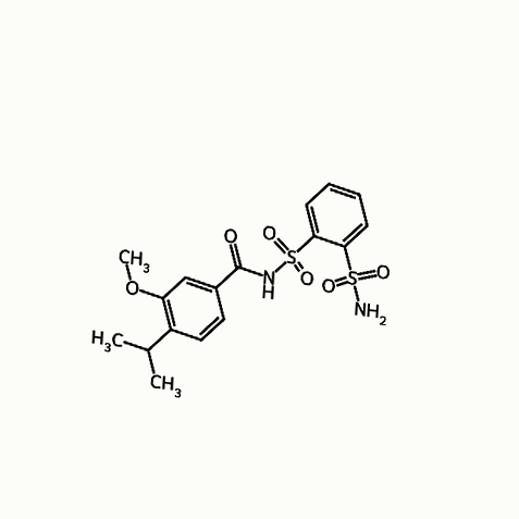 COc1cc(C(=O)NS(=O)(=O)c2ccccc2S(N)(=O)=O)ccc1C(C)C